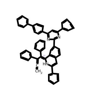 C=C=C(/C(=C1\NC(c2ccccc2)=Cc2ccc(-c3nc(-c4ccccc4)cc(-c4ccc(-c5ccccc5)cc4)n3)cc21)c1ccccc1)c1ccccc1